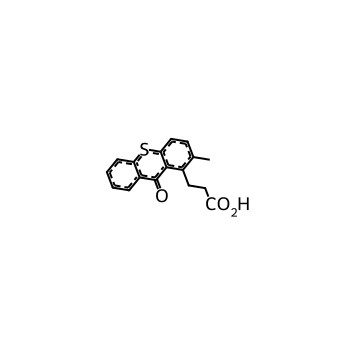 Cc1ccc2sc3ccccc3c(=O)c2c1CCC(=O)O